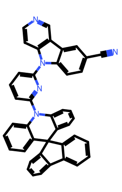 N#Cc1ccc2c(c1)c1cnccc1n2-c1cccc(N2c3ccccc3C3(c4ccccc4-c4ccccc43)c3ccccc32)n1